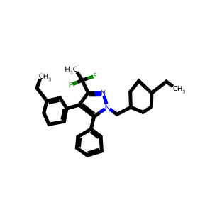 CCC1=CC(c2c(C(C)(F)F)nn(CC3CCC(CC)CC3)c2-c2ccccc2)=CCC1